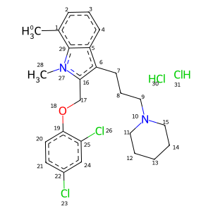 Cc1cccc2c(CCCN3CCCCC3)c(COc3ccc(Cl)cc3Cl)n(C)c12.Cl.Cl